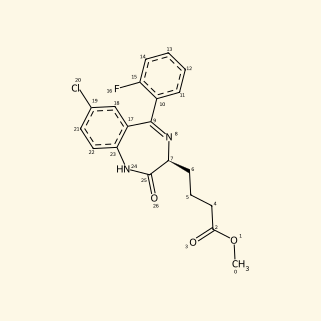 COC(=O)CCC[C@@H]1N=C(c2ccccc2F)c2cc(Cl)ccc2NC1=O